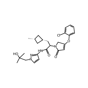 CC(C)(O)Cn1ccc(NC(=O)C(C[C@H]2C[C@@H](C)C2)N2CC(Oc3ccccc3Cl)=CC2=O)n1